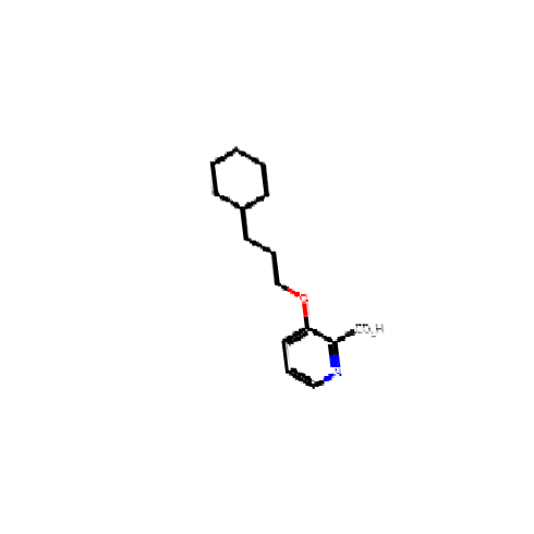 O=C(O)c1ncccc1OCCCC1CCCCC1